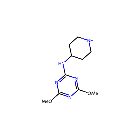 COc1nc(NC2CCNCC2)nc(OC)n1